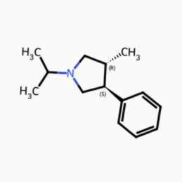 CC(C)N1C[C@H](c2ccccc2)[C@@H](C)C1